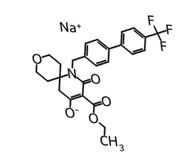 CCOC(=O)C1=C([O-])CC2(CCOCC2)N(Cc2ccc(-c3ccc(C(F)(F)F)cc3)cc2)C1=O.[Na+]